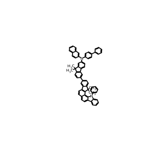 CC1(C)c2ccc(-c3ccc4c(c3)-c3ccc5ccc6c7ccccc7n(-c7ccccc7)c6c5c3C4(C)C)cc2-c2ccc(N(c3ccc(-c4ccccc4)cc3)c3ccc4ccccc4c3)cc21